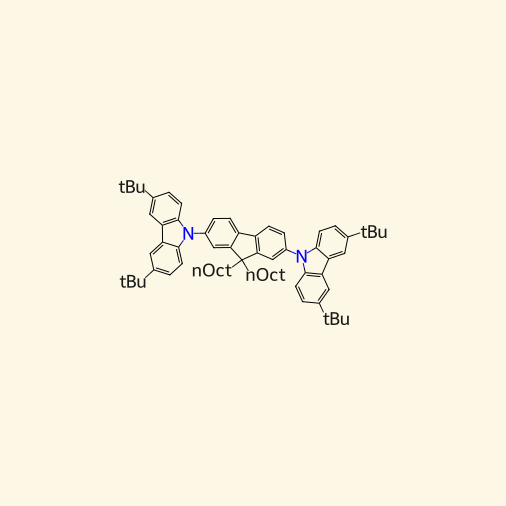 CCCCCCCCC1(CCCCCCCC)c2cc(-n3c4ccc(C(C)(C)C)cc4c4cc(C(C)(C)C)ccc43)ccc2-c2ccc(-n3c4ccc(C(C)(C)C)cc4c4cc(C(C)(C)C)ccc43)cc21